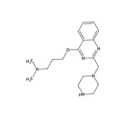 CN(C)CCCOc1nc(CN2CCNCC2)nc2ccccc12